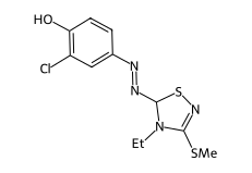 CCN1C(SC)=NSC1/N=N/c1ccc(O)c(Cl)c1